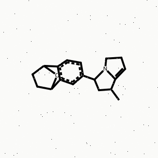 CC1CC(c2ccc3c(c2)C2CCC3O2)N2CCC=C12